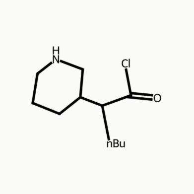 CCCCC(C(=O)Cl)C1CCCNC1